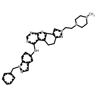 CN1CCN(CCn2cc3c(n2)CCc2c-3sc3ncnc(Nc4ccc5c(cnn5Cc5ccccc5)c4)c23)CC1